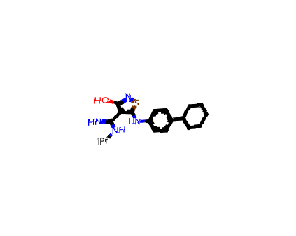 CC(C)NC(=N)c1c(O)nsc1Nc1ccc(C2CCCCC2)cc1